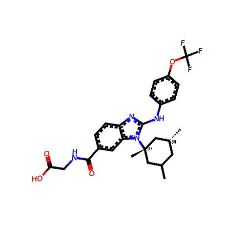 CC1C[C@@H](C)C[C@@](C)(n2c(Nc3ccc(OC(F)(F)F)cc3)nc3ccc(C(=O)NCC(=O)O)cc32)C1